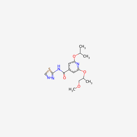 COCC(C)Oc1cc(C(=O)Nc2nncs2)cc(OC(C)C)n1